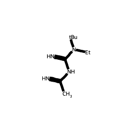 CCN(C(=N)NC(C)=N)C(C)(C)C